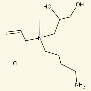 C=CC[N+](C)(CCCCN)CC(O)CO.[Cl-]